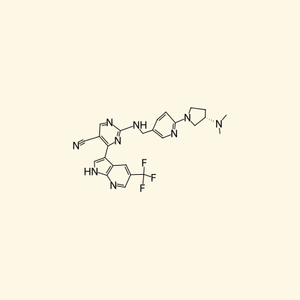 CN(C)[C@H]1CCN(c2ccc(CNc3ncc(C#N)c(-c4c[nH]c5ncc(C(F)(F)F)cc45)n3)cn2)C1